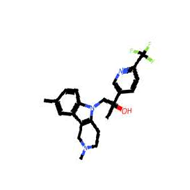 Cc1ccc2c(c1)c1c(n2CC(C)(O)c2ccc(C(F)(F)F)nc2)CCN(C)C1